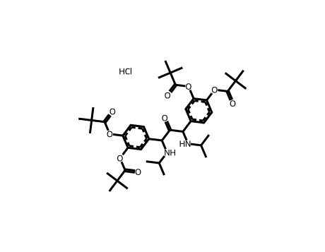 CC(C)NC(C(=O)C(NC(C)C)c1ccc(OC(=O)C(C)(C)C)c(OC(=O)C(C)(C)C)c1)c1ccc(OC(=O)C(C)(C)C)c(OC(=O)C(C)(C)C)c1.Cl